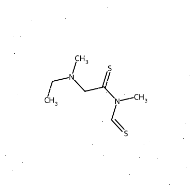 CCN(C)CC(=S)N(C)C=S